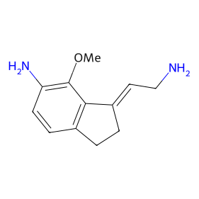 COc1c(N)ccc2c1/C(=C/CN)CC2